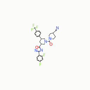 N#CC1CCN(C(=O)N2CC(c3ccc(C(F)(F)F)cc3)CC(c3nc(-c4ccc(F)cc4F)no3)C2)CC1